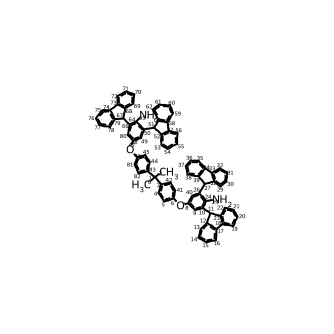 CC(C)(c1ccc(Oc2cc(C3c4ccccc4-c4ccccc43)c(N)c(C3c4ccccc4-c4ccccc43)c2)cc1)c1ccc(Oc2cc(C3c4ccccc4-c4ccccc43)c(N)c(C3c4ccccc4-c4ccccc43)c2)cc1